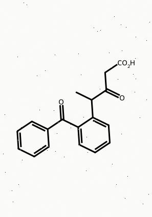 CC(C(=O)CC(=O)O)c1ccccc1C(=O)c1ccccc1